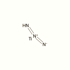 [N-]=[N+]=N.[Ti]